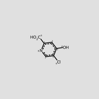 O=C(O)c1cc(O)c(Cl)cn1